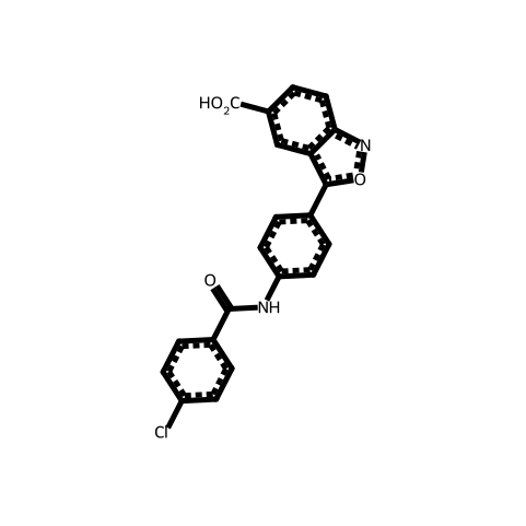 O=C(O)c1ccc2noc(-c3ccc(NC(=O)c4ccc(Cl)cc4)cc3)c2c1